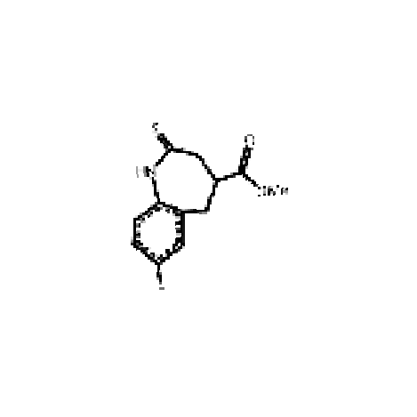 COC(=O)C1CC(=S)Nc2ccc(F)cc2C1